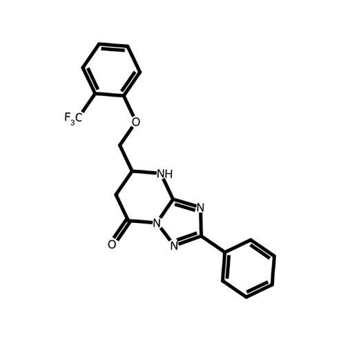 O=C1CC(COc2ccccc2C(F)(F)F)Nc2nc(-c3ccccc3)nn21